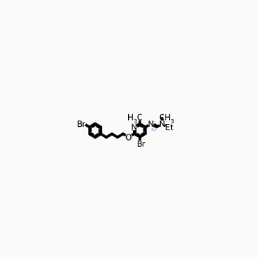 CCN(C)/C=N/c1cc(Br)c(OCCCCc2ccc(Br)cc2)nc1C